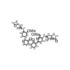 COc1cc(-c2nccc(-c3cccc(-c4ccc(CNC[C@H]5CCC(=O)N5)c(OC)n4)c3Cl)c2Cl)ccc1CNC[C@@H]1CCO1